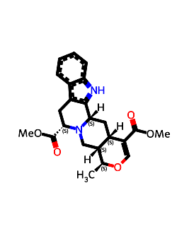 COC(=O)C1=CO[C@@H](C)[C@@H]2CN3[C@H](C(=O)OC)Cc4c([nH]c5ccccc45)[C@@H]3C[C@H]12